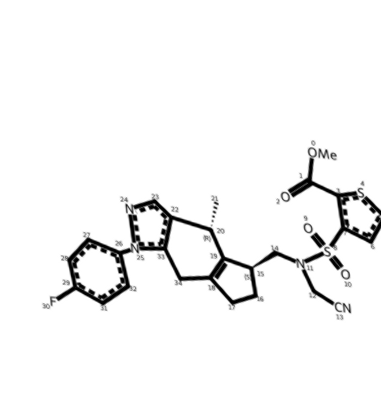 COC(=O)c1sccc1S(=O)(=O)N(CC#N)C[C@H]1CCC2=C1[C@@H](C)c1cnn(-c3ccc(F)cc3)c1C2